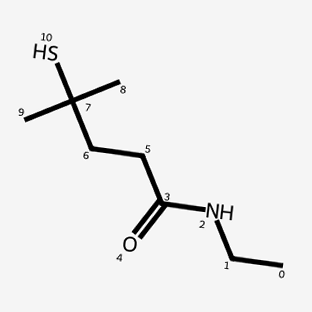 CCNC(=O)CCC(C)(C)S